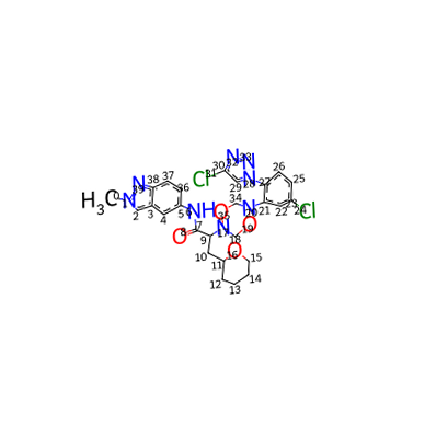 Cn1cc2cc(NC(=O)C(CC3CCCCO3)N3CON(c4cc(Cl)ccc4-n4cc(Cl)nn4)CO3)ccc2n1